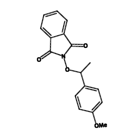 COc1ccc(C(C)ON2C(=O)c3ccccc3C2=O)cc1